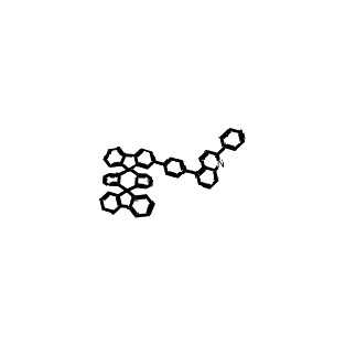 C1=CC2=C(CC1)c1ccccc1C21c2ccccc2C2(c3ccccc3-c3ccc(-c4ccc(-c5cccc6nc(-c7ccccc7)ccc56)cc4)cc32)c2ccccc21